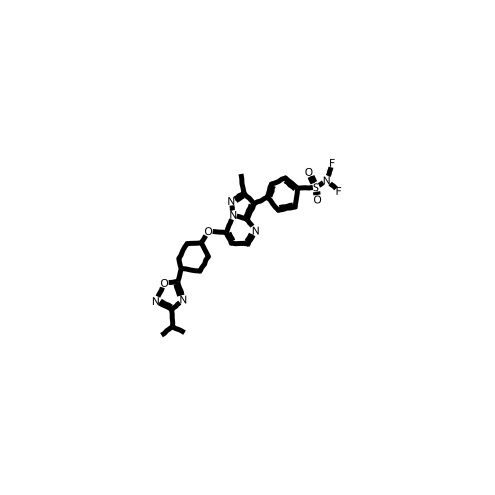 Cc1nn2c(OC3CCC(c4nc(C(C)C)no4)CC3)ccnc2c1-c1ccc(S(=O)(=O)N(F)F)cc1